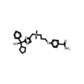 C[N+](C)(CCCOc1ccc(C(N)=O)cc1)Cc1cnc(C(O)(c2ccccc2)C2CCCC2)o1